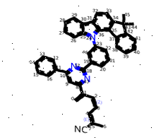 C=C(/C=C\C=C(/C)C#N)c1cc(-c2ccccc2)nc(-c2cccc(-n3c4ccccc4c4ccc5c(c43)-c3ccccc3C5(C)C)c2)n1